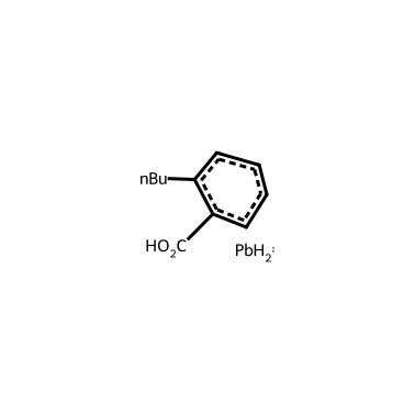 CCCCc1ccccc1C(=O)O.[PbH2]